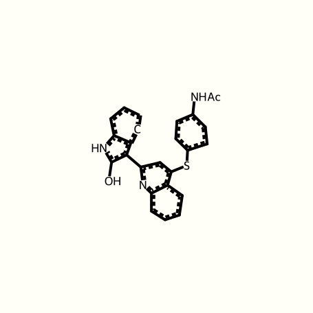 CC(=O)Nc1ccc(Sc2cc(-c3c(O)[nH]c4ccccc34)nc3ccccc23)cc1